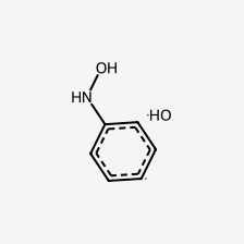 ONc1cc[c]cc1.[OH]